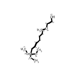 CO[Si](CCCCCC[SiH2]OCCO)(OC)OC